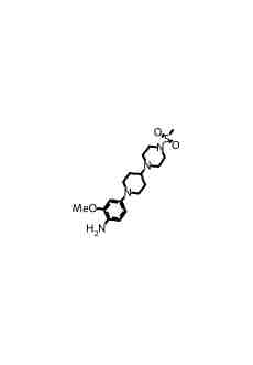 COc1cc(N2CCC(N3CCN(S(C)(=O)=O)CC3)CC2)ccc1N